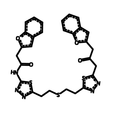 O=C(Cc1cc2ccccc2o1)Cc1nnc(CCSCCc2nnc(NC(=O)Cc3cc4ccccc4o3)s2)s1